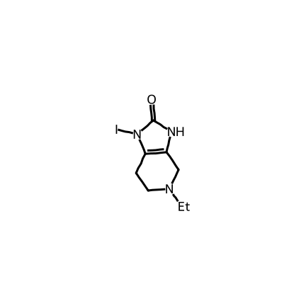 CCN1CCc2c([nH]c(=O)n2I)C1